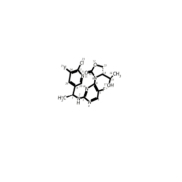 C[C@H](Nc1ncc(F)c(N2C(=O)OC[C@@H]2[C@@H](C)O)n1)c1cnc(Cl)c(F)c1